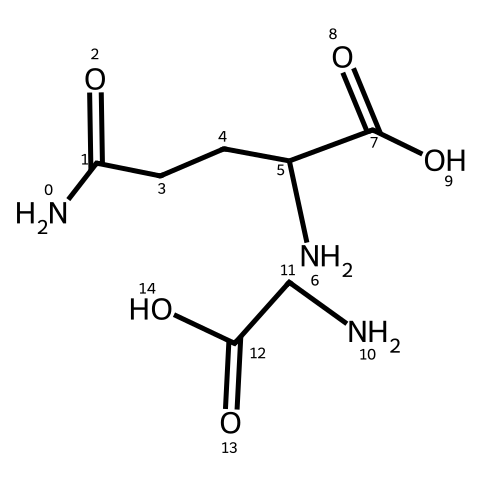 NC(=O)CCC(N)C(=O)O.NCC(=O)O